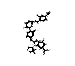 CC1(C)COC[C@H]1n1c(Cc2cc(F)c(-c3nc(OCc4ccc(C#N)cc4F)ccc3F)cc2F)nc2c(F)cc(C(=O)O)cc21